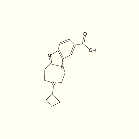 O=C(O)c1ccc2nc3n(c2c1)CCN(C1CCC1)CC3